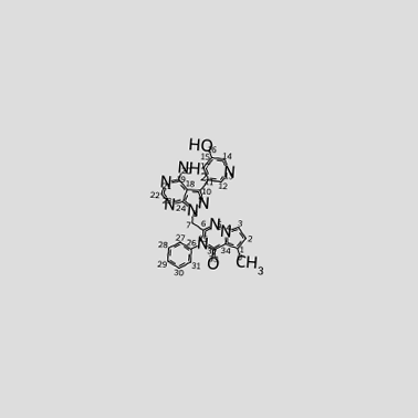 Cc1ccn2nc(Cn3nc(-c4cncc(O)c4)c4c(N)ncnc43)n(-c3ccccc3)c(=O)c12